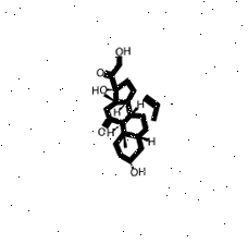 C=CC.C[C@]12CC[C@@H](O)C[C@H]1CC[C@@H]1[C@@H]2C(=O)C[C@@]2(C)[C@H]1CC[C@]2(O)C(=O)CO